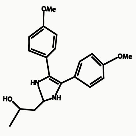 COc1ccc(C2=C(c3ccc(OC)cc3)NC(CC(C)O)N2)cc1